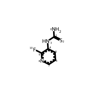 NC(=S)Nc1cccnc1F